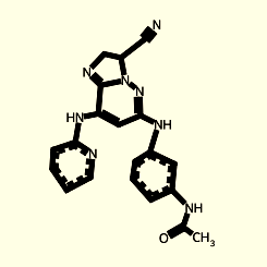 CC(=O)Nc1cccc(NC2=NN3C(=NCC3C#N)C(Nc3ccccn3)=C2)c1